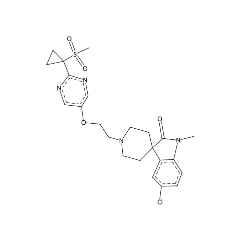 CN1C(=O)C2(CCN(CCOc3cnc(C4(S(C)(=O)=O)CC4)nc3)CC2)c2cc(Cl)ccc21